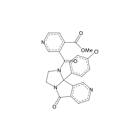 COC(=O)c1ccncc1C(=O)N1CCN2C(=O)c3ccncc3C12c1ccc(Cl)cc1